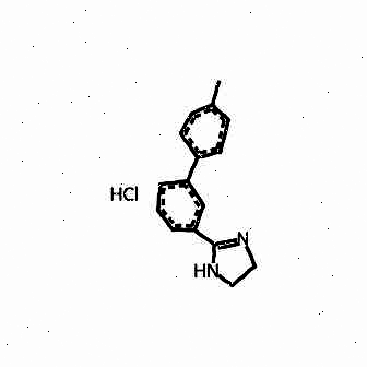 Cc1ccc(-c2cccc(C3=NCCN3)c2)cc1.Cl